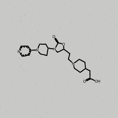 O=C(O)CC1CCN(CCC2CN(C3CCN(c4ccncc4)CC3)C(=O)O2)CC1